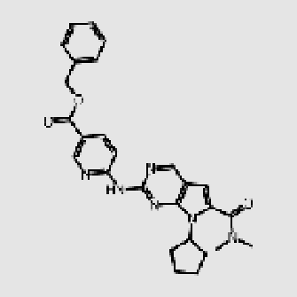 CN(C)C(=O)c1cc2cnc(Nc3ccc(C(=O)OCc4ccccc4)cn3)nc2n1C1CCCC1